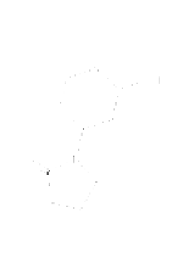 CC1CC(N2CCCC2=O)CCN1